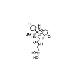 CC(C)(C)C[C@H]1NC(CC(=O)NCC[C@H](O)CO)[C@H](c2cccc(Cl)c2F)[C@@]12C(=O)Nc1cc(Cl)ccc12